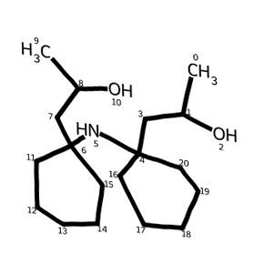 CC(O)CC1(NC2(CC(C)O)CCCCC2)CCCCC1